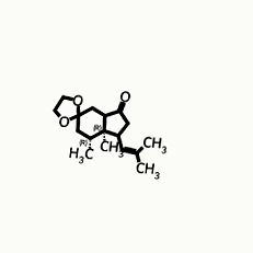 CC(C)=CC1CC(=O)C2CC3(C[C@@H](C)[C@]12C)OCCO3